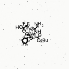 CC(C)(C)OC(=O)C[C@@H](NC(=O)CN)NS(=O)(=O)c1ccccc1.O=C(O)C(F)(F)F